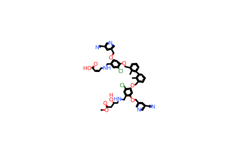 COC(=O)CC(O)CNCc1cc(Cl)c(OCc2cccc(-c3cccc(COc4cc(OCc5cncc(C#N)c5)c(CNC/C=C\C(=O)O)cc4Cl)c3C)c2C)cc1OCc1cncc(C#N)c1